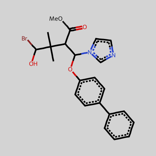 COC(=O)C(C(Oc1ccc(-c2ccccc2)cc1)n1ccnc1)C(C)(C)C(O)Br